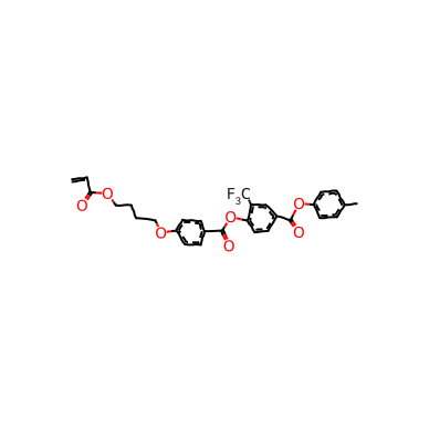 C=CC(=O)OCCCCOc1ccc(C(=O)Oc2ccc(C(=O)Oc3ccc(C)cc3)cc2C(F)(F)F)cc1